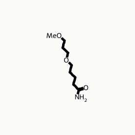 COCCCOCCCCC(N)=O